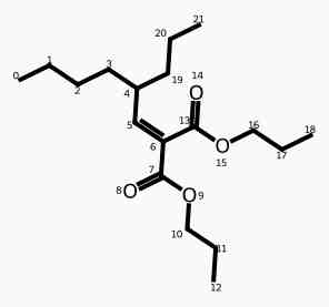 CCCCC(C=C(C(=O)OCCC)C(=O)OCCC)CCC